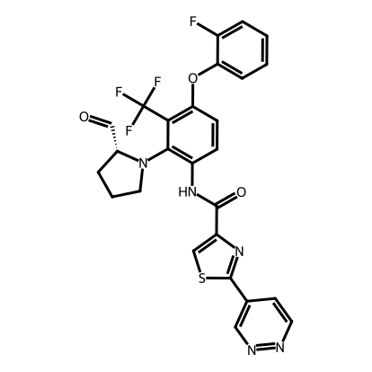 O=C[C@H]1CCCN1c1c(NC(=O)c2csc(-c3ccnnc3)n2)ccc(Oc2ccccc2F)c1C(F)(F)F